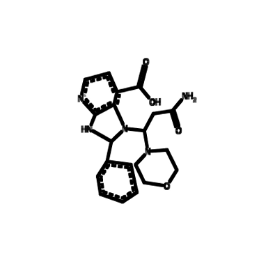 NC(=O)CC(N1CCOCC1)N1c2c(C(=O)O)ccnc2NC1c1ccccc1